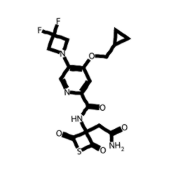 NC(=O)CC1(NC(=O)c2cc(OCC3CC3)c(N3CC(F)(F)C3)cn2)C(=O)SC1=O